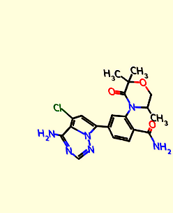 CC1COC(C)(C)C(=O)N1c1cc(-c2cc(Cl)c3c(N)ncnn23)ccc1C(N)=O